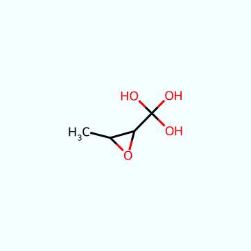 CC1OC1C(O)(O)O